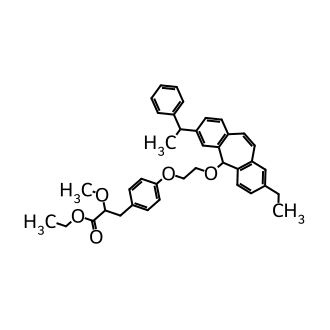 CCOC(=O)C(Cc1ccc(OCCOC2c3ccc(CC)cc3C=Cc3ccc(C(C)c4ccccc4)cc32)cc1)OC